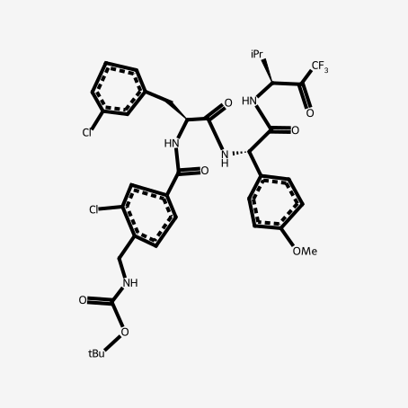 COc1ccc([C@H](NC(=O)[C@H](Cc2cccc(Cl)c2)NC(=O)c2ccc(CNC(=O)OC(C)(C)C)c(Cl)c2)C(=O)N[C@H](C(=O)C(F)(F)F)C(C)C)cc1